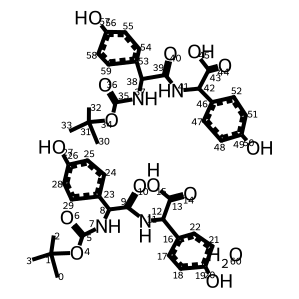 CC(C)(C)OC(=O)NC(C(=O)NC(C(=O)O)c1ccc(O)cc1)c1ccc(O)cc1.CC(C)(C)OC(=O)NC(C(=O)NC(C(=O)O)c1ccc(O)cc1)c1ccc(O)cc1.O